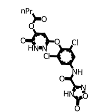 CCCC(=O)Oc1cc(Oc2c(Cl)cc(NC(=O)c3noc(=O)[nH]3)cc2Cl)n[nH]c1=O